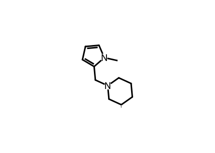 Cn1cccc1CN1C[CH]CCC1